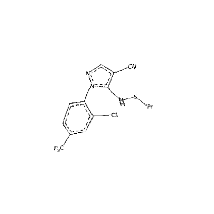 CC(C)SNc1c(C#N)cnn1-c1ccc(C(F)(F)F)cc1Cl